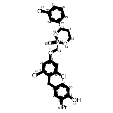 CC(C)c1cc(Cc2c(Cl)cc(OC[P@@]3(=O)OCC[C@@H](c4cccc(Cl)c4)O3)cc2Cl)ccc1O